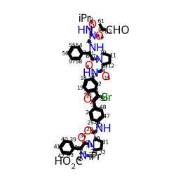 CC(C)ONN(CN[C@@H](C(=O)N1CCC[C@H]1C(=O)Nc1ccc2oc(-c3ccc(NC(=O)[C@@H]4CCCN4C(=O)[C@@H](c4ccccc4)N(C(=O)O)C(C)C)cc3)c(Br)c2c1)c1ccccc1)OC(C)C=O